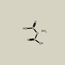 O=S(O)OS(=O)O.[SrH2]